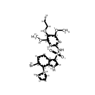 COc1nc(NS(=O)(=O)c2c[nH]c3c(-n4cccn4)c(Br)ccc23)nc(OC)c1OCCF